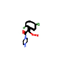 O=C(C(O)c1cc(Cl)ccc1Cl)N1CCNCC1